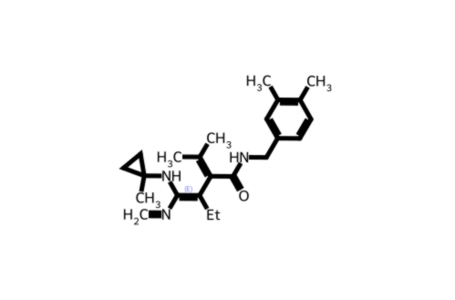 C=N/C(NC1(C)CC1)=C(\CC)C(C(=O)NCc1ccc(C)c(C)c1)=C(C)C